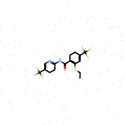 CCSC1=C(C(=O)NC2=NC=C(C(F)(F)F)CC2)CCC(C(F)(F)F)=C1